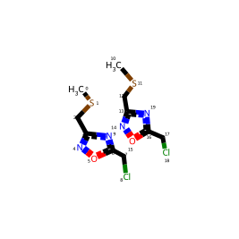 CSCc1noc(CCl)n1.CSCc1noc(CCl)n1